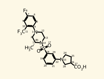 C[C@@H]1CN(c2ccc(F)cc2C(F)(F)F)CCN1S(=O)(=O)c1cccc(N2CCC(C(=O)O)C2)c1